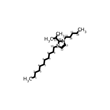 CCCCCCCCCCCN1C=CN(CCCCC)C1C(C)C